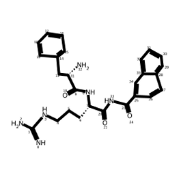 N=C(N)NCCC[C@H](NC(=O)[C@@H](N)Cc1ccccc1)C(=O)NC(=O)c1ccc2ccccc2c1